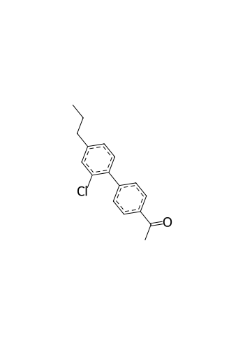 CCCc1ccc(-c2ccc(C(C)=O)cc2)c(Cl)c1